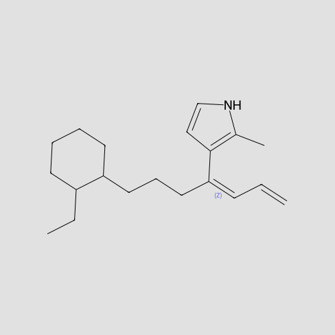 C=C/C=C(/CCCC1CCCCC1CC)c1cc[nH]c1C